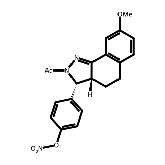 COc1ccc2c(c1)C1=NN(C(C)=O)[C@@H](c3ccc(O[N+](=O)[O-])cc3)[C@H]1CC2